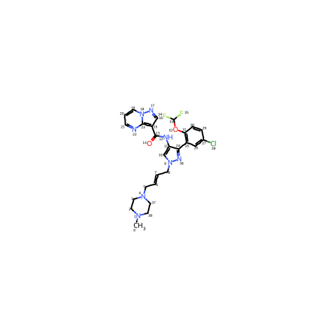 CN1CCN(CC=CCn2cc(NC(=O)c3cnn4cccnc34)c(-c3cc(Cl)ccc3OC(F)F)n2)CC1